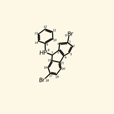 Brc1ccc2c(c1)C(Pc1ccccc1)c1cc(Br)ccc1-2